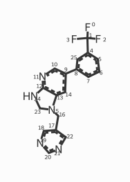 FC(F)(F)c1cccc(-c2cnc3c(c2)N(Cc2cncnc2)CN3)c1